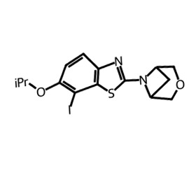 CC(C)Oc1ccc2nc(N3C4COCC3C4)sc2c1I